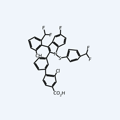 Cc1cccc(C(F)F)c1-c1c(-c2cccc(-c3ccc(C(=O)O)cc3Cl)c2)n(Sc2ccc(C(F)F)cc2)c2ccc(F)cc12